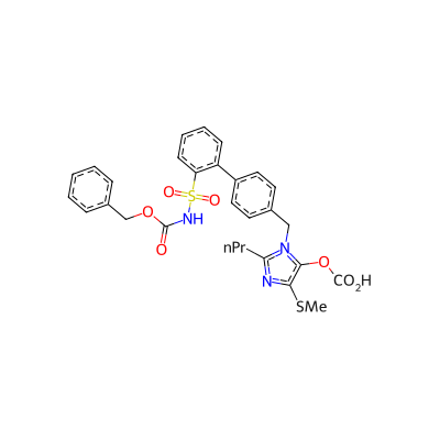 CCCc1nc(SC)c(OC(=O)O)n1Cc1ccc(-c2ccccc2S(=O)(=O)NC(=O)OCc2ccccc2)cc1